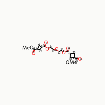 COC(=O)[C@H]1C[C@@H](C(=O)OCCOCCOC(=O)[C@H]2C[C@@H](C(=O)OC)C2)C1